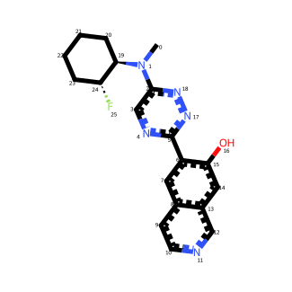 CN(c1cnc(-c2cc3ccncc3cc2O)nn1)[C@@H]1CCCC[C@H]1F